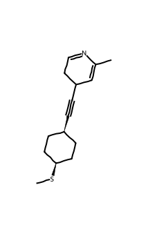 CS[C@H]1CC[C@@H](C#CC2C=C(C)N=CC2)CC1